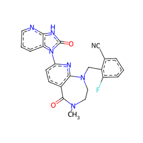 CN1CCN(Cc2c(F)cccc2C#N)c2nc(-n3c(=O)[nH]c4ncccc43)ccc2C1=O